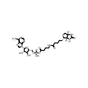 Nc1ncnc2c1ncn2[C@@H]1O[C@H](COP(=O)(O)OC(=O)CCCNC(=O)CCCC[C@@H]2SC[C@@H]3NC(=O)N[C@@H]32)C(O)[C@@H]1O